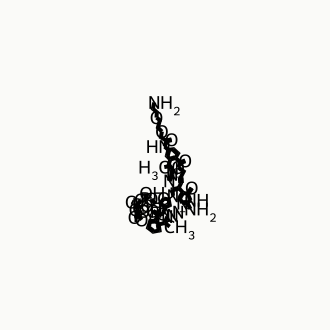 CC(N=[N+]=[N-])c1cc(NC(=O)COCCOCCN)ccc1C(=O)OCC#Cc1cn([C@H]2CC(OC(=O)c3ccccc3C(C)N=[N+]=[N-])[C@@H](COP(=O)(O)OP(=O)(O)OP(=O)(O)O)O2)c2nc(N)[nH]c(=O)c12